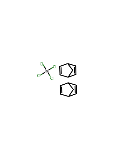 C1=CC2C=CC1C2.C1=CC2C=CC1C2.[Cl][Ru]([Cl])([Cl])[Cl]